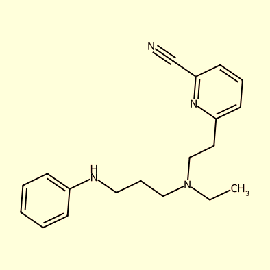 CCN(CCCNc1ccccc1)CCc1cccc(C#N)n1